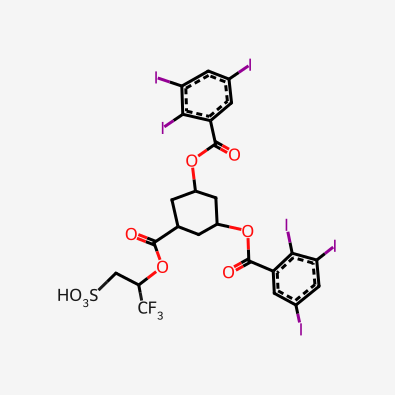 O=C(OC1CC(OC(=O)c2cc(I)cc(I)c2I)CC(C(=O)OC(CS(=O)(=O)O)C(F)(F)F)C1)c1cc(I)cc(I)c1I